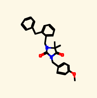 COc1ccc(CN2C(=O)N(Cc3ccccc3Cc3ccccc3)C(C)(C)C2=O)cc1